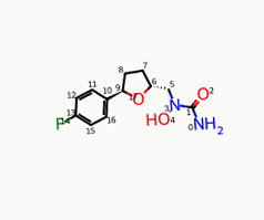 NC(=O)N(O)C[C@H]1CC[C@H](c2ccc(F)cc2)O1